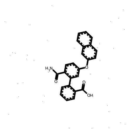 NC(=O)c1ccc(Oc2ccc3ccccc3c2)cc1-c1ccccc1C(=O)O